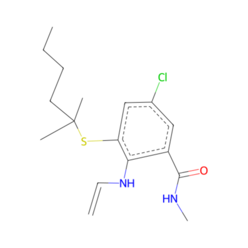 C=CNc1c(SC(C)(C)CCCC)cc(Cl)cc1C(=O)NC